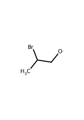 CC(Br)C[O]